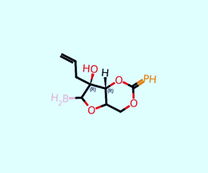 BC1OC2COC(=P)O[C@H]2[C@@]1(O)CC=C